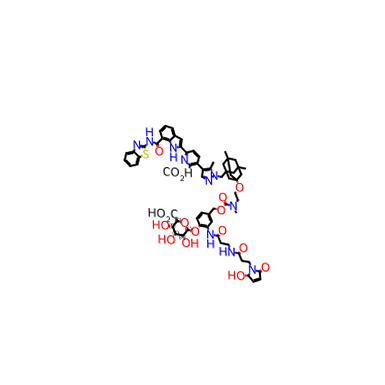 Cc1c(-c2ccc(-c3cc4cccc(C(=O)Nc5nc6ccccc6s5)c4[nH]3)nc2C(=O)O)cnn1CC12CC3(C)CC(C)(C1)CC(OCCN(C)C(=O)OCc1ccc(O[C@@H]4O[C@H](C(=O)O)[C@@H](O)[C@H](O)[C@H]4O)c(NC(=O)CCNC(=O)CCN4C(=O)C=CC4O)c1)(C3)C2